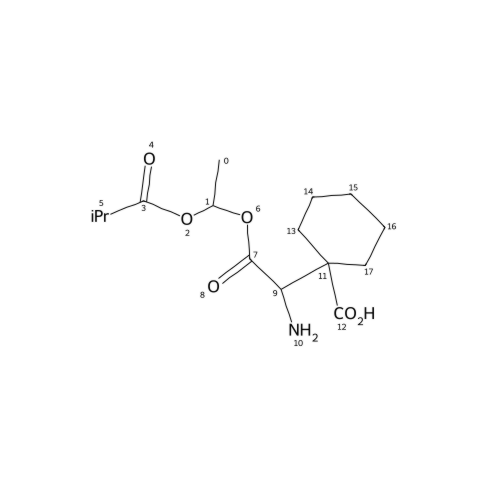 CC(OC(=O)C(C)C)OC(=O)C(N)C1(C(=O)O)CCCCC1